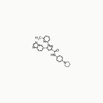 Cc1cccc(-n2nc(C(=O)Nc3ccc(N4CCCC4)cc3)cc2-c2ccc3ncnn3c2)n1